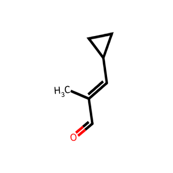 C/C(C=O)=C\C1CC1